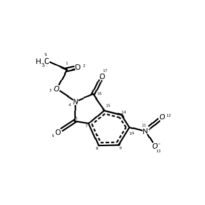 CC(=O)ON1C(=O)c2ccc([N+](=O)[O-])cc2C1=O